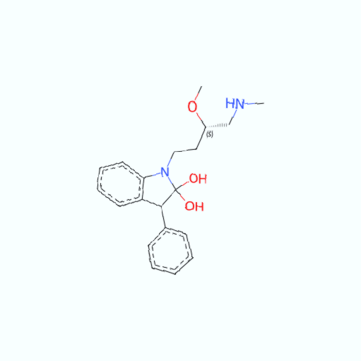 CNC[C@H](CCN1c2ccccc2C(c2ccccc2)C1(O)O)OC